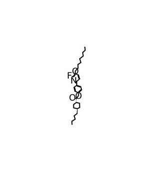 CCCCCCCCOc1ccc(-c2ccc(OC(=O)[C@H]3CC[C@H](CCCCC)CC3)cc2)nc1F